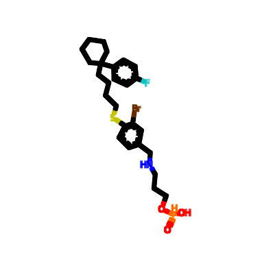 O=[PH](O)OCCCNCc1ccc(SCCCCC2(c3ccc(F)cc3)CCCCC2)c(Br)c1